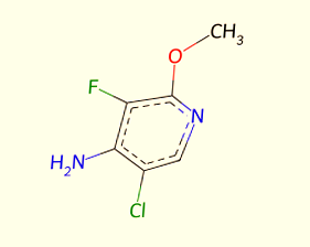 COc1ncc(Cl)c(N)c1F